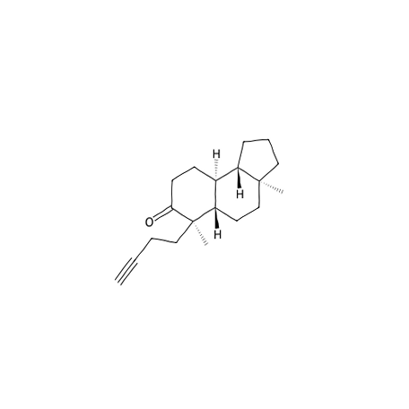 C#CCC[C@@]1(C)C(=O)CC[C@H]2[C@@H]3CCC[C@@]3(C)CC[C@@H]21